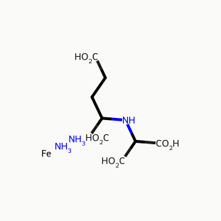 N.N.O=C(O)CCC(NC(C(=O)O)C(=O)O)C(=O)O.[Fe]